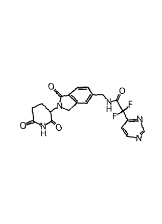 O=C1CCC(N2Cc3cc(CNC(=O)C(F)(F)c4ccncn4)ccc3C2=O)C(=O)N1